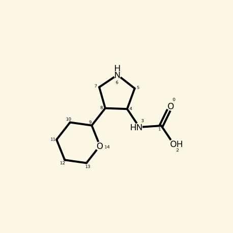 O=C(O)NC1CNCC1C1CCCCO1